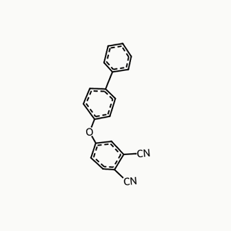 N#Cc1ccc(Oc2ccc(-c3ccccc3)cc2)cc1C#N